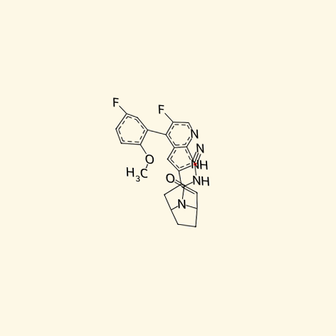 COc1ccc(F)cc1-c1c(F)cnc2[nH]c(C3=CC4CCC(C3)N4C(=O)NC#N)cc12